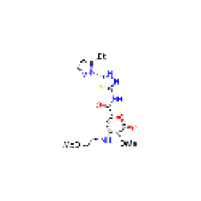 CCc1ccnn1-c1nnc(NC(=O)c2cc(NCCOC)c(OC)c(=O)o2)s1